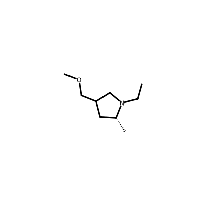 CCN1CC(COC)C[C@H]1C